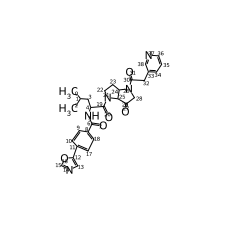 CC(C)CC(NC(=O)c1ccc(-c2cnco2)cc1)C(=O)N1CCC2C1C(=O)CN2C(=O)Cc1cccnc1